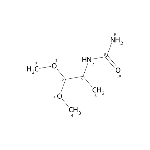 COC(OC)C(C)NC(N)=O